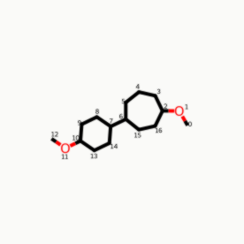 COC1CCCC(C2CCC(OC)CC2)CC1